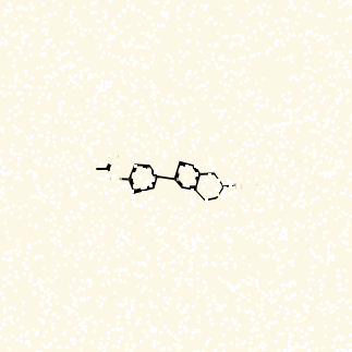 CCCCCCCC1CCc2cc(-c3ccc(OC(=O)CCC)cc3)ccc2C1